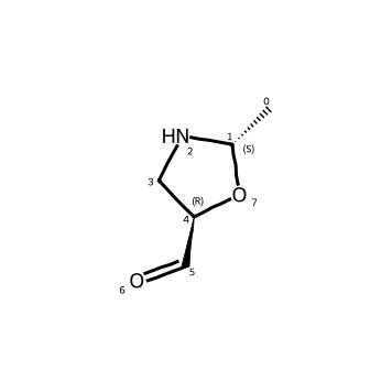 C[C@H]1NC[C@H](C=O)O1